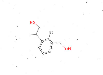 CCc1c(CO)cccc1[C](C)CO